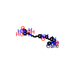 COc1cccc(Nc2c(C(N)=O)cnc3c(C)cc(Cc4cccc(C(=O)Nc5ccc(C#CCCCNC[C@H](O)c6ccc(O)c7[nH]c(=O)ccc67)cc5C)c4)cc23)c1